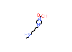 CCNCCCCCN1CCN(C(=O)O)CC1